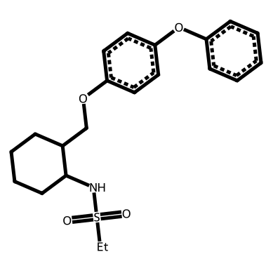 CCS(=O)(=O)NC1CCCCC1COc1ccc(Oc2ccccc2)cc1